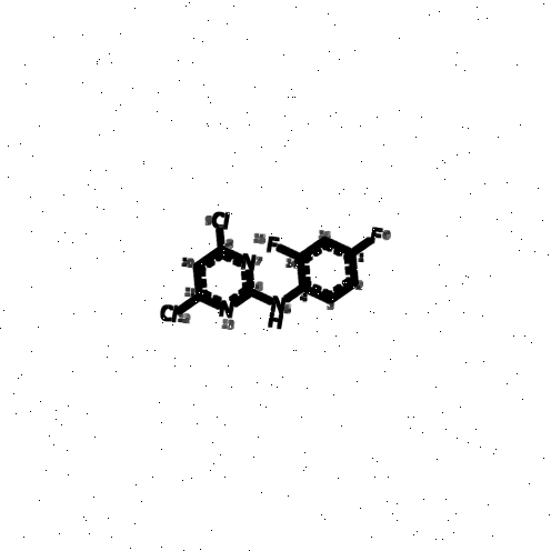 Fc1ccc(Nc2nc(Cl)cc(Cl)n2)c(F)c1